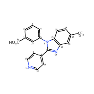 O=C(O)c1cccc(-n2c(-c3ccncc3)nc3cc(C(F)(F)F)ccc32)c1